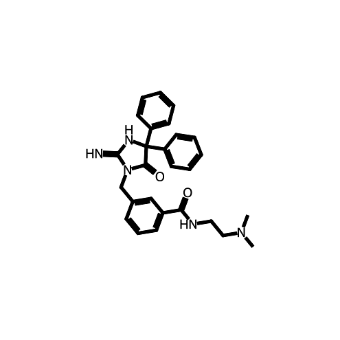 CN(C)CCNC(=O)c1cccc(CN2C(=N)NC(c3ccccc3)(c3ccccc3)C2=O)c1